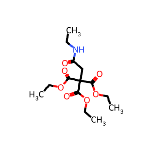 CCNC(=O)CC(C(=O)OCC)(C(=O)OCC)C(=O)OCC